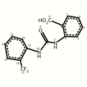 O=C(Nc1ccccc1C(=O)O)Nc1ccccc1C(F)(F)F